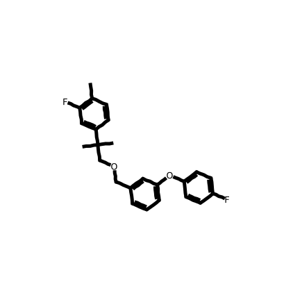 Cc1ccc(C(C)(C)COCc2cccc(Oc3ccc(F)cc3)c2)cc1F